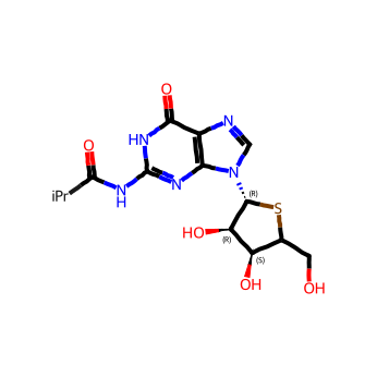 CC(C)C(=O)Nc1nc2c(ncn2[C@@H]2SC(CO)[C@@H](O)[C@H]2O)c(=O)[nH]1